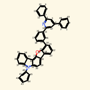 c1ccc(-c2cc(-c3ccccc3)nc(-c3cccc(-c4cccc5c4oc4c5ccc5c4c4ccccc4n5-c4ccccc4)c3)c2)cc1